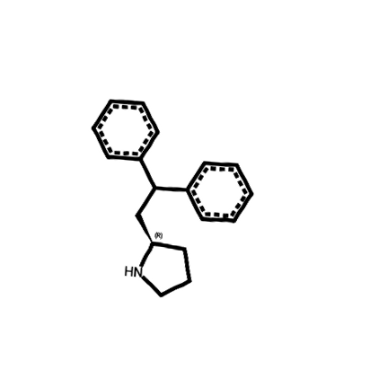 c1ccc(C(C[C@H]2CCCN2)c2ccccc2)cc1